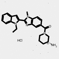 CCn1c(-c2nc3cc(C(=O)N4CCC[C@@H](N)C4)ccc3n2C)cc2ccccc21.Cl